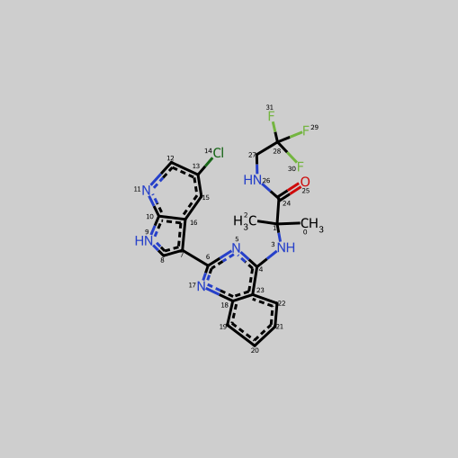 CC(C)(Nc1nc(-c2c[nH]c3ncc(Cl)cc23)nc2ccccc12)C(=O)NCC(F)(F)F